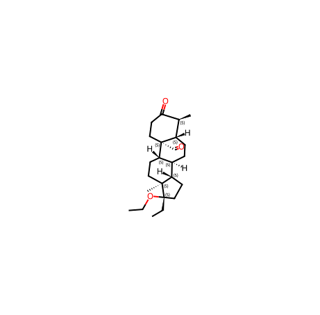 CCO[C@@]1(CC)CC[C@H]2[C@@H]3CC[C@H]4[C@H](C)C(=O)CC[C@]4(C=O)[C@H]3CC[C@@]21C